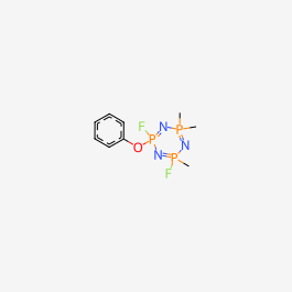 CP1(C)=NP(C)(F)=NP(F)(Oc2ccccc2)=N1